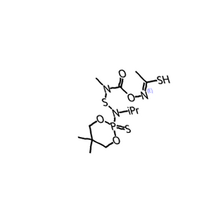 C/C(S)=N\OC(=O)N(C)SN(C(C)C)P1(=S)OCC(C)(C)CO1